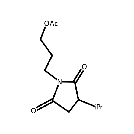 CC(=O)OCCCN1C(=O)CC(C(C)C)C1=O